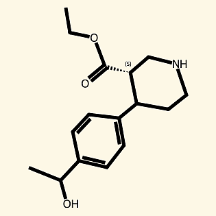 CCOC(=O)[C@@H]1CNCCC1c1ccc(C(C)O)cc1